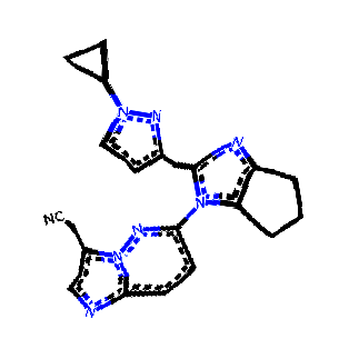 N#Cc1cnc2ccc(-n3c(-c4ccn(C5CC5)n4)nc4c3CCC4)nn12